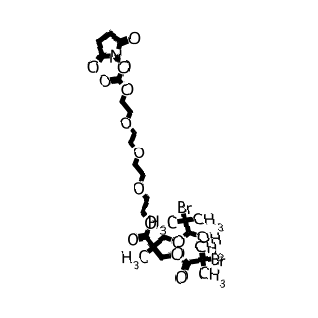 CC(C)(Br)C(=O)OCC(C)(COC(O)C(C)(C)Br)C(=O)OCCOCCOCCOCCOC(=O)ON1C(=O)CCC1=O